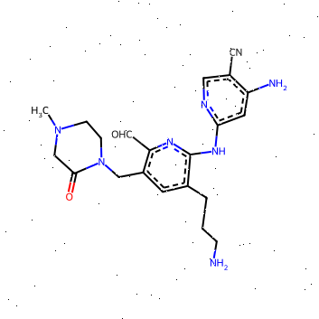 CN1CCN(Cc2cc(CCCN)c(Nc3cc(N)c(C#N)cn3)nc2C=O)C(=O)C1